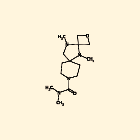 CN(C)C(=O)N1CCC2(CC1)CN(C)C1(COC1)N2C